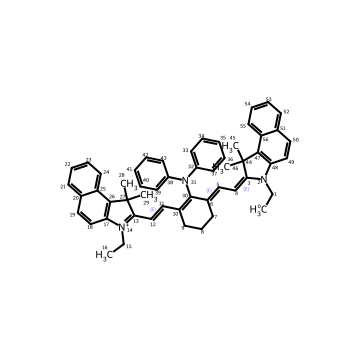 CCN1/C(=C/C=C2\CCCC(/C=C/C3=[N+](CC)c4ccc5ccccc5c4C3(C)C)=C2N(c2ccccc2)c2ccccc2)C(C)(C)c2c1ccc1ccccc21